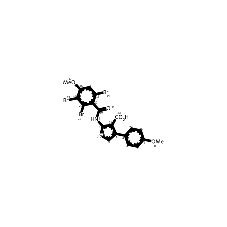 COc1ccc(-c2csc(NC(=O)c3c(Br)cc(OC)c(Br)c3Br)c2C(=O)O)cc1